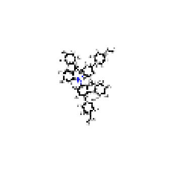 C=Cc1ccc(-c2cc3c4c(c2)B2c5ccccc5-c5c(-c6ccc(C=C)cc6)ccc(c52)N4c2cccc4c2B3c2ccccc2-4)cc1